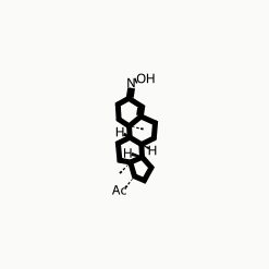 CC(=O)[C@H]1CC[C@H]2[C@@H]3CCC4=CC(=NO)CC[C@]4(C)[C@H]3CC[C@]12C